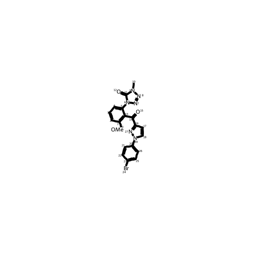 COc1cccc(-n2nnn(C)c2=O)c1C(=O)c1ccn(-c2ccc(Br)cc2)n1